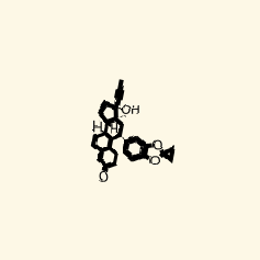 CC#C[C@]1(O)CC[C@H]2[C@@H]3CCC4=CC(=O)CCC4=C3[C@@H](c3ccc4c(c3)OC3(CC3)O4)C[C@@]21C